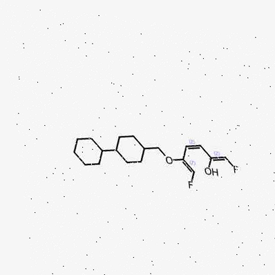 OC(/C=C\C(=C\F)OCC1CCC(C2CCCCC2)CC1)=C\F